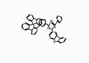 c1ccc(-c2nc(-c3cccc(-c4cccc5c4C4(c6ccccc6-c6ccccc64)c4ccccc4-5)c3)nc(-c3ccc4sc5ccccc5c4c3)n2)cc1